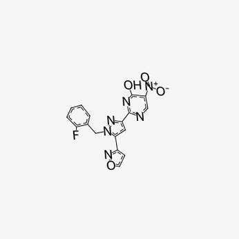 O=[N+]([O-])c1cnc(-c2cc(-c3ccon3)n(Cc3ccccc3F)n2)nc1O